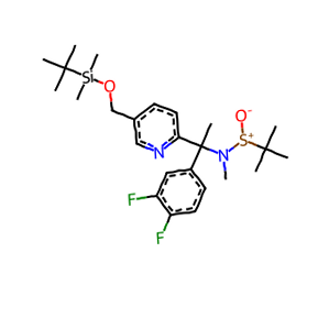 CN([S+]([O-])C(C)(C)C)C(C)(c1ccc(F)c(F)c1)c1ccc(CO[Si](C)(C)C(C)(C)C)cn1